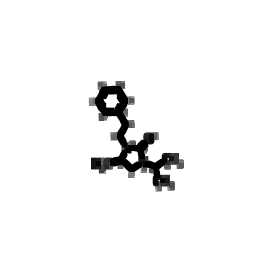 C=C1CN(C(C)C)C(=O)N1CCc1ccccc1